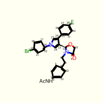 CC(=O)Nc1ccc(CCN2C(=O)CO[C@@H]2c2cn(-c3ccc(Br)cc3)cc2-c2ccc(F)cc2)cc1